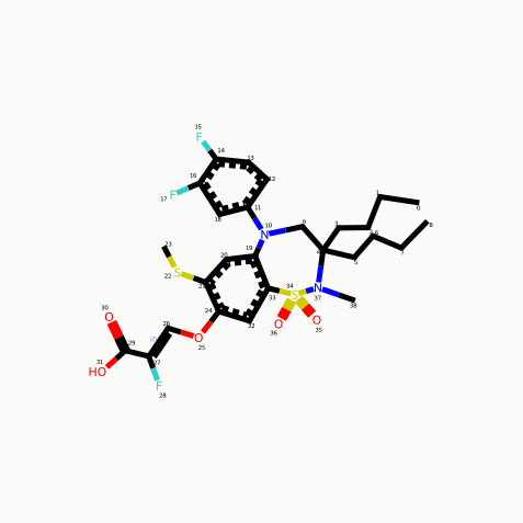 CCCCC1(CCCC)CN(c2ccc(F)c(F)c2)c2cc(SC)c(O/C=C(\F)C(=O)O)cc2S(=O)(=O)N1C